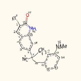 CCc1cc2ccc(C(C)(C#N)Cc3cccc(NC)c3)cc2[nH]c1=O